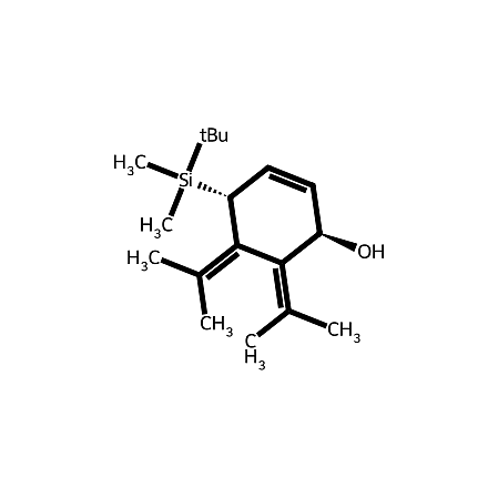 CC(C)=C1C(=C(C)C)[C@H]([Si](C)(C)C(C)(C)C)C=C[C@H]1O